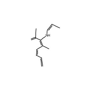 C=C/C=C\C(C)=C(\N/C=C\C)C(=C)C